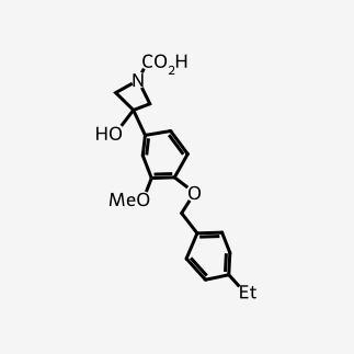 CCc1ccc(COc2ccc(C3(O)CN(C(=O)O)C3)cc2OC)cc1